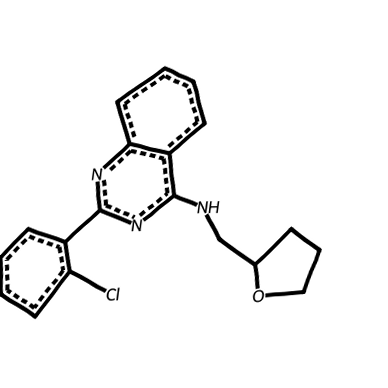 Clc1ccccc1-c1nc(NCC2CCCO2)c2ccccc2n1